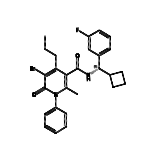 CCCc1c(C(=O)N[C@H](c2cccc(F)c2)C2CCC2)c(C)n(-c2ccccc2)c(=O)c1Br